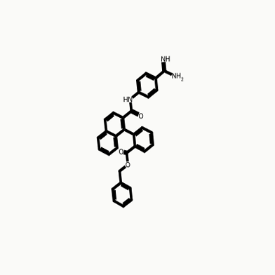 N=C(N)c1ccc(NC(=O)c2ccc3ccccc3c2-c2ccccc2C(=O)OCc2ccccc2)cc1